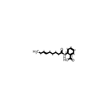 CCC=CCCCCC(=O)Nc1ccccc1C(=O)O